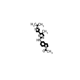 CC(=O)n1ccc2cc(Nc3ncc(C)c(-c4cnn(C(C)C)c4)n3)ccc21